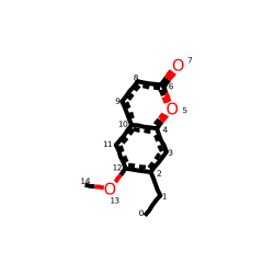 CCc1cc2oc(=O)ccc2cc1OC